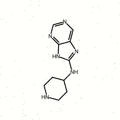 c1ncc2nc(NC3CCNCC3)[nH]c2n1